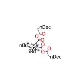 CCCCCCCCCCCC(=O)OC(=O)/C=C\C(=O)OC(=O)CCCCCCCCCCC.CCC[CH2][Sn][CH2]CCC.CCC[CH2][Sn][CH2]CCC